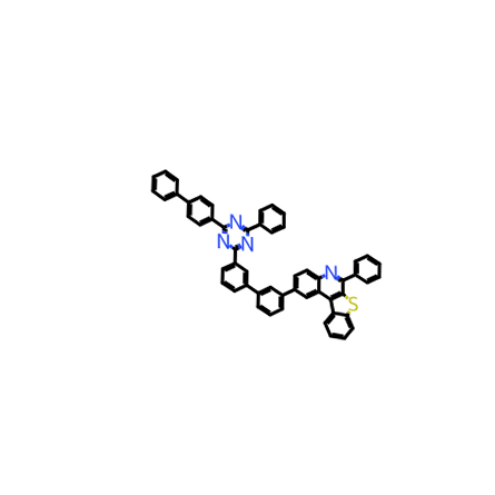 c1ccc(-c2ccc(-c3nc(-c4ccccc4)nc(-c4cccc(-c5cccc(-c6ccc7nc(-c8ccccc8)c8sc9ccccc9c8c7c6)c5)c4)n3)cc2)cc1